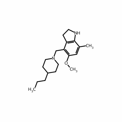 CCCC1CCN(Cc2c(OC)cc(C)c3c2CCN3)CC1